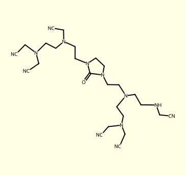 N#CCNCCN(CCN(CC#N)CC#N)CCN1CCN(CCN(CC#N)CCN(CC#N)CC#N)C1=O